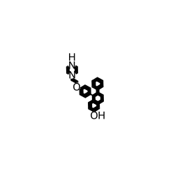 Oc1ccc2c(c1)CCC(c1ccccc1)[C@@H]2c1ccc(OCCN2CCNCC2)cc1